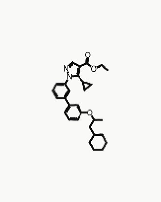 CCOC(=O)c1cnn(-c2cccc(-c3cccc(OC(C)CC4CCCCC4)c3)c2)c1C1CC1